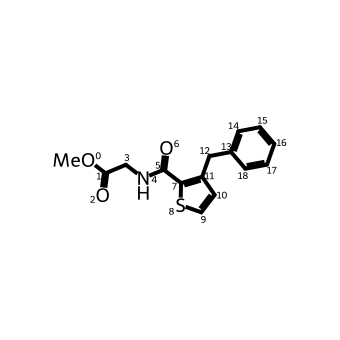 COC(=O)CNC(=O)c1sccc1Cc1ccccc1